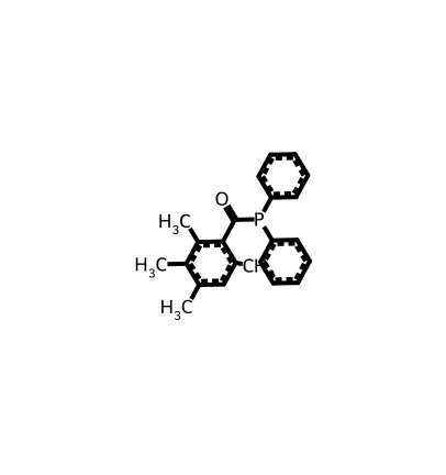 Cc1cc(C)c(C(=O)P(c2ccccc2)c2ccccc2)c(C)c1C